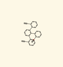 C#Cc1ccccc1-c1cccc(-c2ccccc2C#C)c1-c1ccccc1C#C